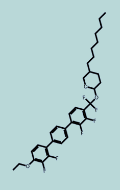 CCCCCCCCC1CCC(OC(F)(F)c2ccc(-c3ccc(-c4ccc(OCC)c(F)c4F)cc3)c(F)c2F)OC1